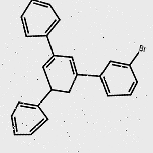 Brc1cccc(C2=CC(c3ccccc3)=CC(c3ccccc3)C2)c1